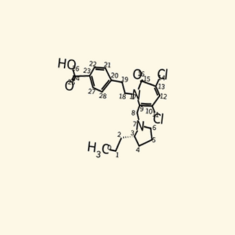 CCC[C@H]1CCCN1Cc1c(Cl)cc(Cl)c(=O)n1CCc1ccc(C(=O)O)cc1